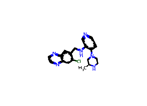 C[C@H]1CN(c2ccncc2NCc2cc3nccnc3cc2Cl)CCN1